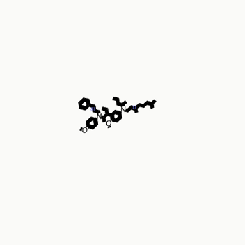 CCCC(C)N(C/C=C(\C)CCC=C(C)C)c1ccc(OC)c(C(CC)C(C)N(C/C=C/c2ccccc2)c2ccc(OC)cc2)c1